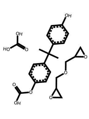 C(OCC1CO1)C1CO1.CC(C)(c1ccc(O)cc1)c1ccc(OC(=O)O)cc1.O=C(O)O